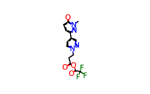 Cn1nc(-c2cc[n+](CCC(=O)OC(=O)C(F)(F)F)nc2)ccc1=O